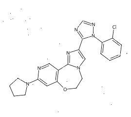 Clc1ccccc1-n1ncnc1-c1cn2c(n1)-c1cnc(N3CCCC3)cc1OCC2